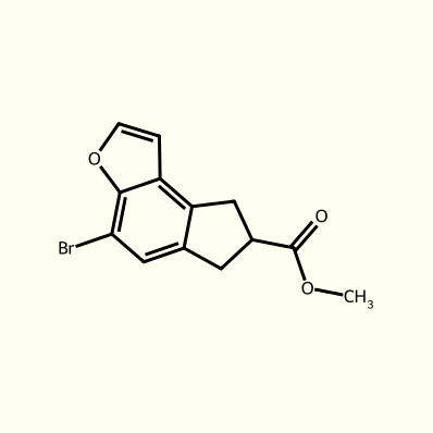 COC(=O)C1Cc2cc(Br)c3occc3c2C1